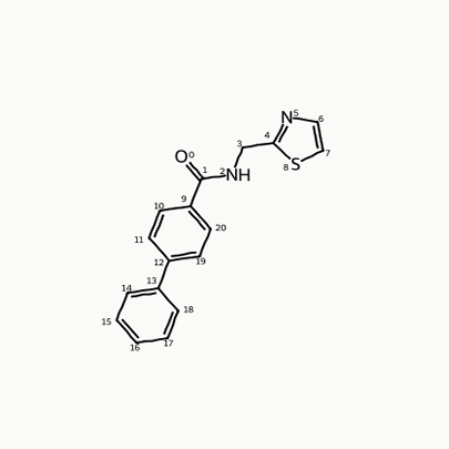 O=C(NCc1nccs1)c1ccc(-c2ccccc2)cc1